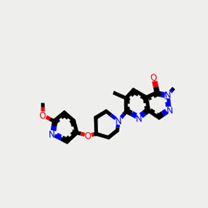 COc1ccc(OC2CCN(c3nc4cnn(C)c(=O)c4cc3C)CC2)cn1